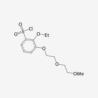 CCOc1c(OCCOCCOC)cccc1S(=O)(=O)Cl